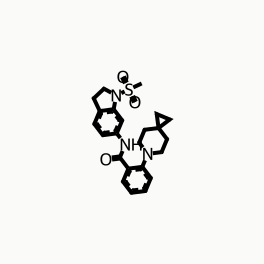 CS(=O)(=O)N1CCc2ccc(NC(=O)c3ccccc3N3CCC4(CC3)CC4)cc21